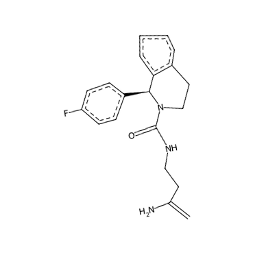 C=C(N)CCNC(=O)N1CCc2ccccc2[C@@H]1c1ccc(F)cc1